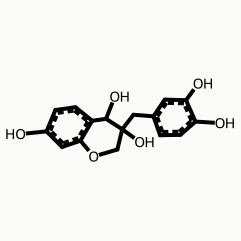 Oc1ccc2c(c1)OCC(O)(Cc1ccc(O)c(O)c1)C2O